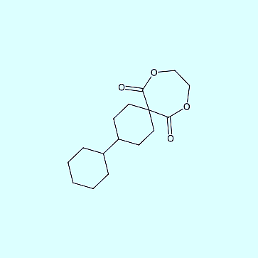 O=C1OCCOC(=O)C12CCC(C1CCCCC1)CC2